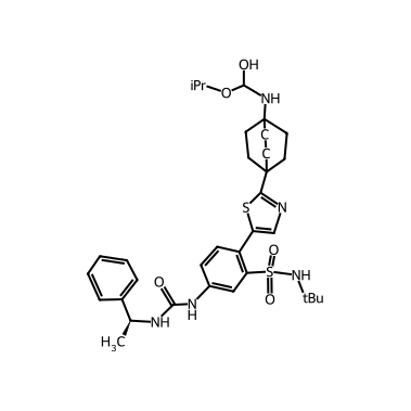 CC(C)OC(O)NC12CCC(c3ncc(-c4ccc(NC(=O)N[C@@H](C)c5ccccc5)cc4S(=O)(=O)NC(C)(C)C)s3)(CC1)CC2